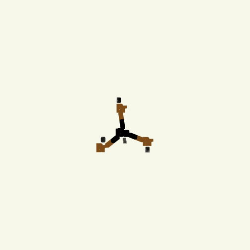 [Br][Ba]([Br])[Br]